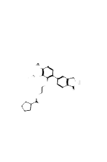 COc1ccc(-c2ccc3c(c2)CNC3=O)c(OCCOC(=O)C2CCCC2)c1OC